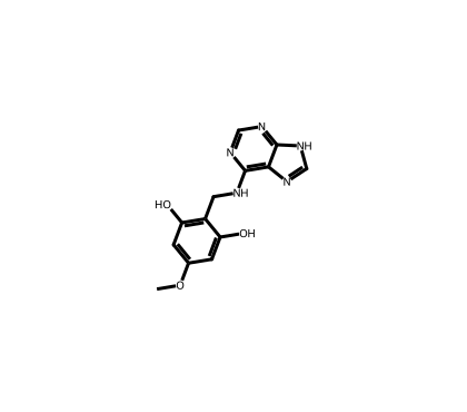 COc1cc(O)c(CNc2ncnc3[nH]cnc23)c(O)c1